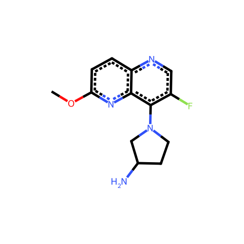 COc1ccc2ncc(F)c(N3CCC(N)C3)c2n1